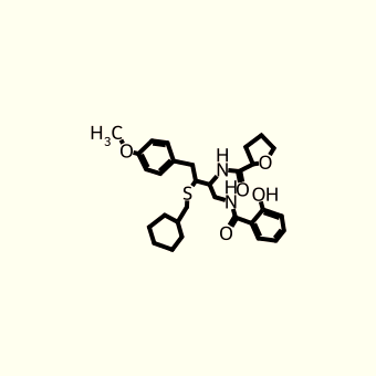 COc1ccc(CC(SCC2CCCCC2)C(CNC(=O)c2ccccc2O)NC(=O)C2CCCO2)cc1